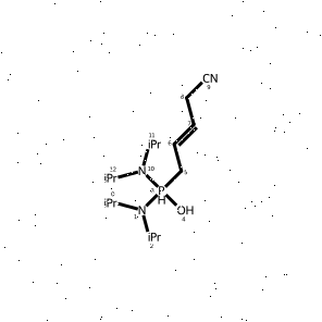 CC(C)N(C(C)C)[PH](O)(CC=CCC#N)N(C(C)C)C(C)C